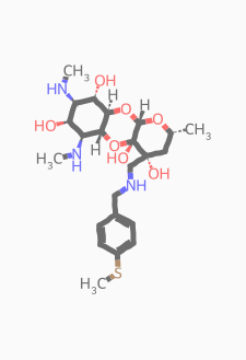 CN[C@@H]1[C@H](O)[C@H](NC)[C@H]2O[C@]3(O)[C@H](O[C@@H]2[C@H]1O)O[C@H](C)C[C@@]3(O)CNCc1ccc(SC)cc1